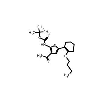 CCCCOC1=C(c2cc(C(N)=O)c(NC(=O)OC(C)(C)C)s2)CCCC1